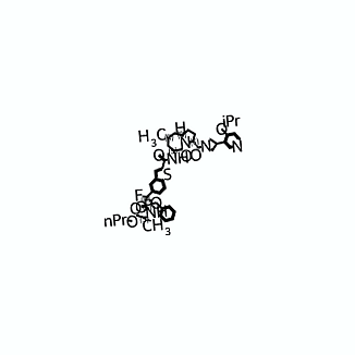 CCCOC(=O)[C@H](C)N[P@@](=O)(Oc1ccccc1)[C@@H](F)c1ccc2sc(C(=O)N[C@H]3C[C@@H](C)C[C@H]4CC[C@@H](C(=O)N5CC(c6cnccc6OC(C)C)C5)N4C3=O)cc2c1